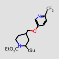 CCOC(=O)N1CCC(COc2ccc(C(F)(F)F)nc2)CC1C(C)(C)C